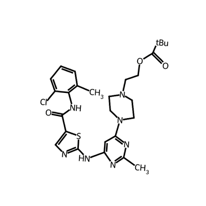 Cc1nc(Nc2ncc(C(=O)Nc3c(C)cccc3Cl)s2)cc(N2CCN(CCOC(=O)C(C)(C)C)CC2)n1